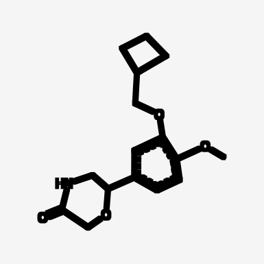 COc1ccc(C2CNC(=O)CO2)cc1OCC1CCC1